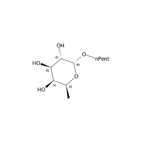 CCCCCO[C@@H]1O[C@@H](C)[C@@H](O)[C@@H](O)[C@@H]1O